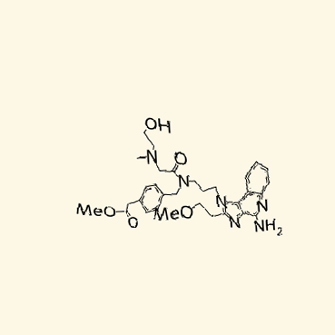 COCCc1nc2c(N)nc3ccccc3c2n1CCCN(Cc1ccc(CC(=O)OC)cc1)C(=O)CN(C)CCO